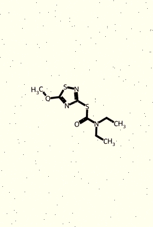 CCN(CC)C(=O)Sc1nsc(OC)n1